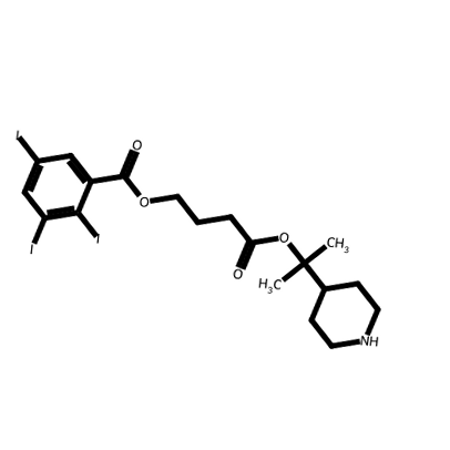 CC(C)(OC(=O)CCCOC(=O)c1cc(I)cc(I)c1I)C1CCNCC1